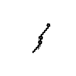 CCCCCC[C@@H](F)COc1ccc(-c2ccc(CCCCCCCCC3CCCC3)cn2)cc1